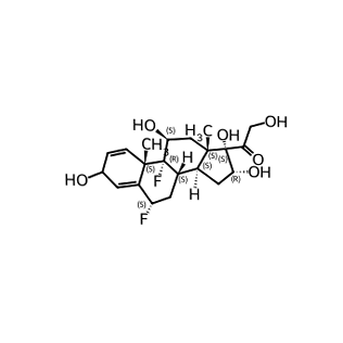 C[C@]12C=CC(O)C=C1[C@@H](F)C[C@H]1[C@@H]3C[C@@H](O)[C@](O)(C(=O)CO)[C@@]3(C)C[C@H](O)[C@@]12F